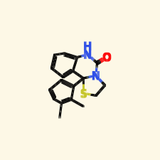 Cc1cccc(C23SCCN2C(=O)Nc2ccccc23)c1C